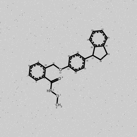 CONC(=O)c1ccccc1COc1ccc(C2CCc3ccccc32)cc1